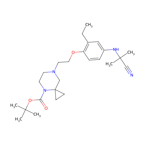 CCc1cc(NC(C)(C)C#N)ccc1OCCN1CCN(C(=O)OC(C)(C)C)C2(CC2)C1